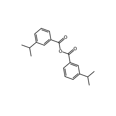 CC(C)c1cccc(C(=O)OC(=O)c2cccc(C(C)C)c2)c1